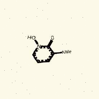 CNc1cccn(O)c1=O